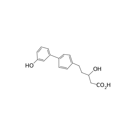 O=C(O)CC(O)CCc1ccc(-c2cccc(O)c2)cc1